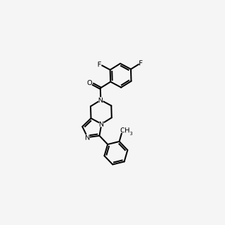 Cc1ccccc1-c1ncc2n1CCN(C(=O)c1ccc(F)cc1F)C2